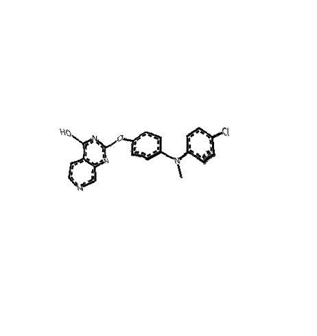 CN(c1ccc(Cl)cc1)c1ccc(Oc2nc(O)c3ccncc3n2)cc1